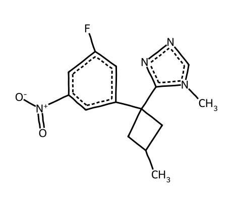 CC1CC(c2cc(F)cc([N+](=O)[O-])c2)(c2nncn2C)C1